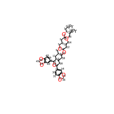 CC(C)CCOCCCCOCCCCC(OC(CCCCOCCCCOCCC(C)C)c1ccc2c(c1)OCO2)c1ccc2c(c1)OCO2